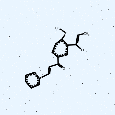 CC=C(C)c1cc(C(=O)C=Cc2ccccc2)ccc1OC